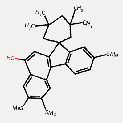 CSc1ccc2c(c1)C1(CC(C)(C)CC(C)(C)C1)c1cc(O)c3cc(SC)c(SC)cc3c1-2